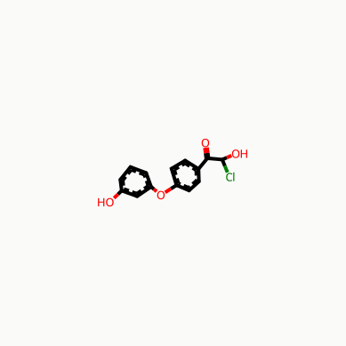 O=C(c1ccc(Oc2cccc(O)c2)cc1)C(O)Cl